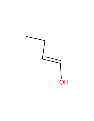 CCC=CO